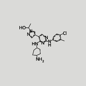 Cc1cc(Nc2ncc(-c3cnn(C(C)O)c3)c(NC3CCC(N)CC3)n2)ccc1Cl